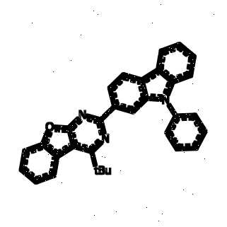 CC(C)(C)c1nc(-c2ccc3c4ccccc4n(-c4ccccc4)c3c2)nc2oc3ccccc3c12